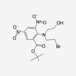 CC(C)(C)OC(=O)c1cc([N+](=O)[O-])cc([N+](=O)[O-])c1N(CCO)CCBr